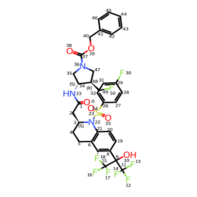 O=C(C[C@@H]1CCc2cc(C(O)(C(F)(F)F)C(F)(F)F)ccc2N1S(=O)(=O)c1ccc(F)cc1)N[C@@H]1CN(C(=O)OCc2ccccc2)C[C@H]1CF